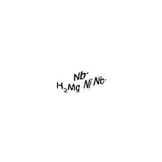 [MgH2].[Nb].[Nb].[Ni]